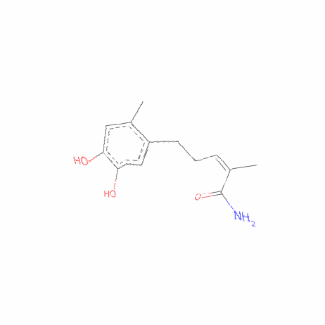 CC(=CCCc1cc(O)c(O)cc1C)C(N)=O